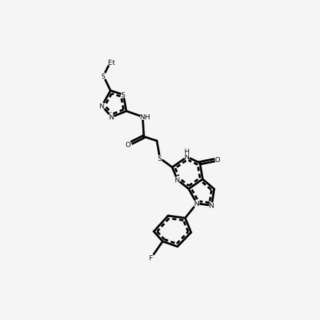 CCSc1nnc(NC(=O)CSc2nc3c(cnn3-c3ccc(F)cc3)c(=O)[nH]2)s1